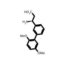 COc1ccc(OC)c(-c2cccc([C@@H](N)CC(=O)O)c2)c1